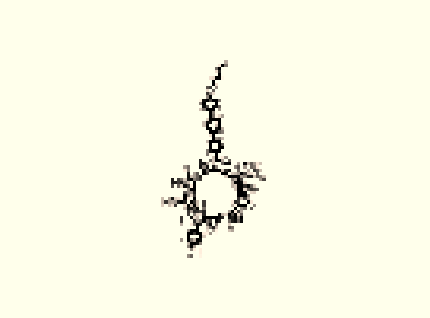 CCCCCOc1ccc(-c2ccc(-c3ccc(C(=O)N[C@H]4C[C@@H](O)[C@@H](OC(F)(F)C[N+](C)(C)C)NC(=O)[C@@H]5[C@@H](O)[C@@H](C)CN5C(=O)[C@H]([C@@H](C)O)NC(=O)[C@H]([C@H](O)[C@@H](O)c5ccc(O)cc5)NC(=O)[C@@H]5C[C@@H](O)CN5C(=O)[C@H]([C@@H](C)O)NC4=O)cc3)cc2)cc1